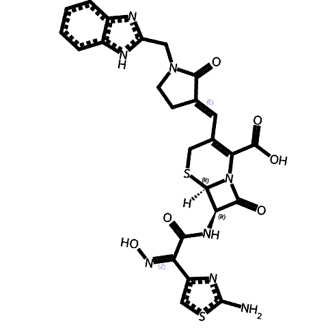 Nc1nc(/C(=N/O)C(=O)N[C@@H]2C(=O)N3C(C(=O)O)=C(/C=C4\CCN(Cc5nc6ccccc6[nH]5)C4=O)CS[C@H]23)cs1